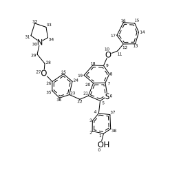 Oc1ccc(-c2sc3cc(OCc4ccccc4)ccc3c2Cc2ccc(OCCN3CCCC3)cc2)cc1